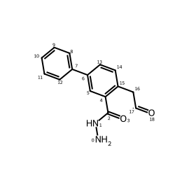 NNC(=O)c1cc(-c2ccccc2)ccc1C[C]=O